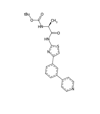 C[C@H](NC(=O)OC(C)(C)C)C(=O)Nc1nc(-c2cccc(-c3ccncc3)c2)cs1